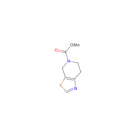 COC(=O)N1CCc2ncsc2C1